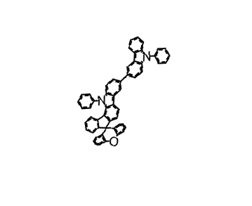 c1ccc(-n2c3ccccc3c3cc(-c4ccc5c(c4)c4ccc6c(c4n5-c4ccccc4)-c4ccccc4C64c5ccccc5Oc5ccccc54)ccc32)cc1